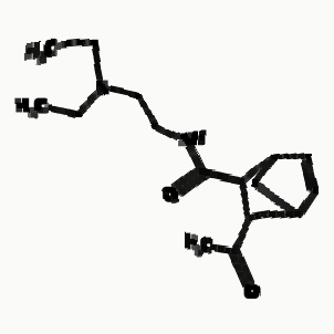 CCN(CC)CCNC(=O)C1C2C=CC(C2)C1C(C)=O